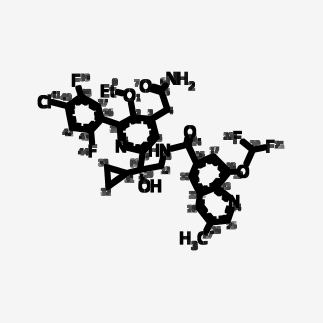 CCOc1c(CC(N)=O)cc([C@@](O)(CNC(=O)c2cc(OC(F)F)c3ncc(C)cc3c2)C2CC2)nc1-c1cc(F)c(Cl)cc1F